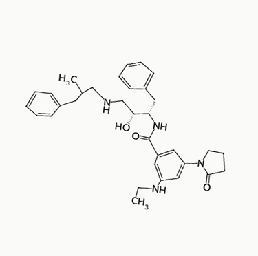 CCNc1cc(C(=O)N[C@@H](Cc2ccccc2)[C@H](O)CNCC(C)Cc2ccccc2)cc(N2CCCC2=O)c1